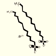 CCCCCCCCCCCCS(=O)(=O)[O-].CCCCCCCCCCCCS(=O)(=O)[O-].[Ni+2]